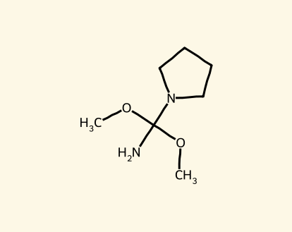 COC(N)(OC)N1CCCC1